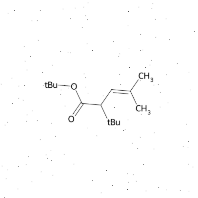 CC(C)=CC(C(=O)OC(C)(C)C)C(C)(C)C